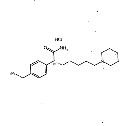 CC(C)Cc1ccc([C@@H](CCCCCN2CCCCC2)C(N)=O)cc1.Cl